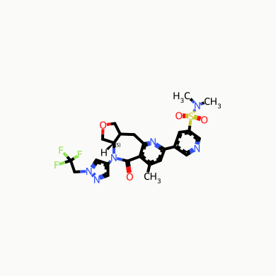 Cc1cc(-c2cncc(S(=O)(=O)N(C)C)c2)nc2c1C(=O)N(c1cnn(CC(F)(F)F)c1)[C@@H]1COCC1C2